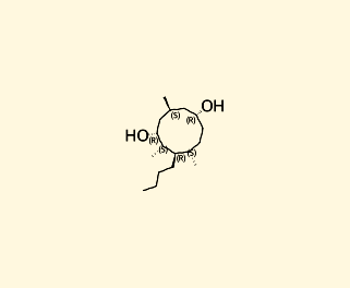 CCCC[C@H]1[C@H](C)[C@H](O)C[C@@H](C)C[C@H](O)CC[C@@H]1C